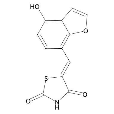 O=C1NC(=O)C(=Cc2ccc(O)c3ccoc23)S1